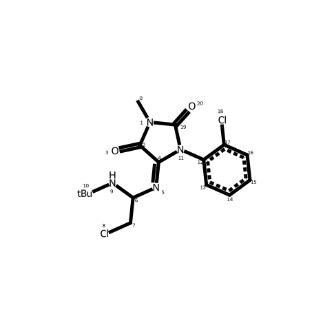 CN1C(=O)/C(=N\C(CCl)NC(C)(C)C)N(c2ccccc2Cl)C1=O